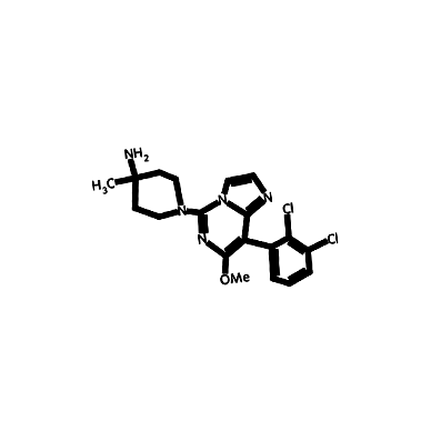 COc1nc(N2CCC(C)(N)CC2)n2ccnc2c1-c1cccc(Cl)c1Cl